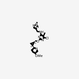 COc1ccc([C@H]2C[C@@H]2COc2nc(Cl)c(C)c(NCc3cnn(C)n3)n2)nc1